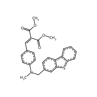 COC(=O)C(=Cc1ccc(N(C)Cc2ccc3c(c2)sc2ccccc23)cc1)C(=O)OC